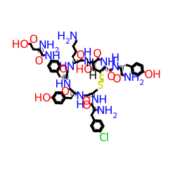 NCCCC[C@@H]1NC(=O)[C@@H](Cc2ccc(NC(=O)[C@@H](N)CC(=O)O)cc2)NC(=O)[C@H](Cc2ccc(O)cc2)NC(=O)[C@H](NC(=O)[C@@H](N)Cc2ccc(Cl)cc2)CSSC2[C@@H](C(=O)N[C@H](Cc3ccc(O)cc3)C(N)=O)NC(=O)[C@@H](NC1=O)[C@@H]2O